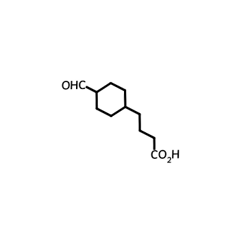 O=CC1CCC(CCCC(=O)O)CC1